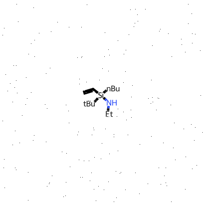 C=C[Si](CCCC)(NCC)C(C)(C)C